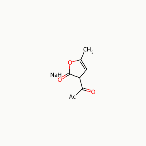 CC(=O)C(=O)C1C=C(C)OC1=O.[NaH]